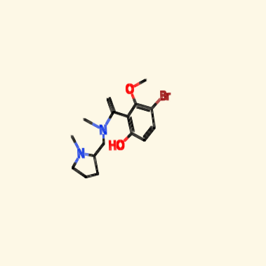 C=C(c1c(O)ccc(Br)c1OC)N(C)CC1CCCN1C